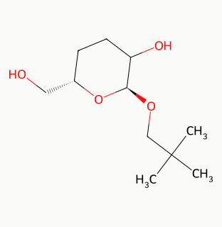 CC(C)(C)CO[C@H]1O[C@H](CO)CCC1O